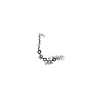 CCCCCCCOCCc1ccc(-c2nc(-c3ccc(C(NC(=O)c4ccc(C(C)(C)C)cc4)C(=O)O)cc3)no2)cc1